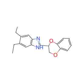 CCc1cc2nc(C3COc4ccccc4O3)[nH]c2cc1CC